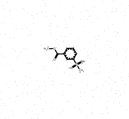 COC(=O)c1cccc(S(C)(=N)=O)c1